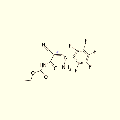 CCOC(=O)NC(=O)/C(C#N)=C\N(N)c1c(F)c(F)c(F)c(F)c1F